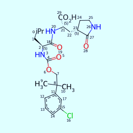 CC(C)C[C@H](NC(=O)OCC(C)(C)c1cccc(Cl)c1)C(=O)N[C@@H](C[C@@H]1CCNC1=O)C(=O)O